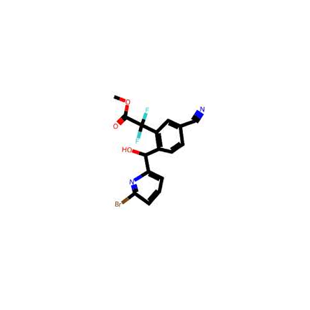 COC(=O)C(F)(F)c1cc(C#N)ccc1C(O)c1cccc(Br)n1